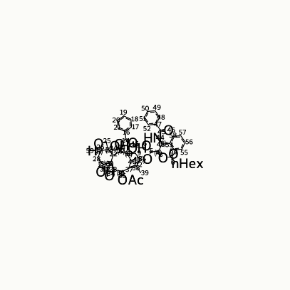 CCCCCCC(=O)O[C@@H](C(=O)O[C@H]1C[C@@]2(O)[C@@H](OC(=O)c3ccccc3)C3[C@]4(O)CO[C@@H]4C[C@H](O)[C@@]3(C)C(=O)[C@H](OC(C)=O)C(=C1C)C2(C)C)[C@@H](NC(=O)c1ccccc1)c1ccccc1